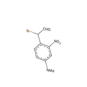 [CH2]Nc1ccc(C(Br)C=O)c([N+](=O)[O-])c1